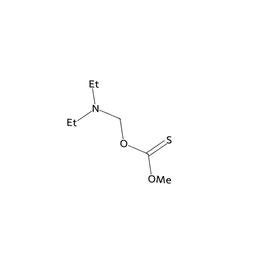 CCN(CC)COC(=S)OC